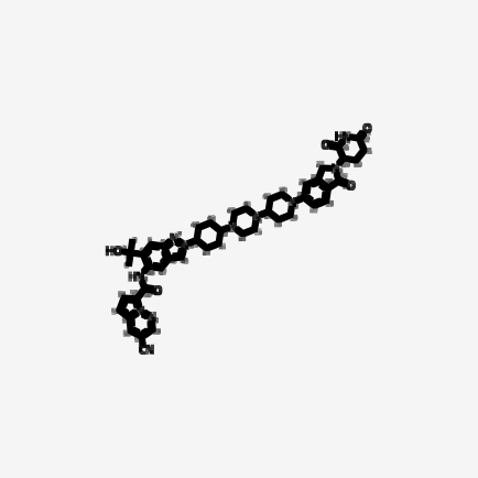 CC(C)(O)c1cc2nn(C3CCC(N4CCN(C5CCN(c6ccc7c(c6)CN(C6CCC(=O)NC6=O)C7=O)CC5)CC4)CC3)cc2cc1NC(=O)c1ccc2cc(C#N)cnn12